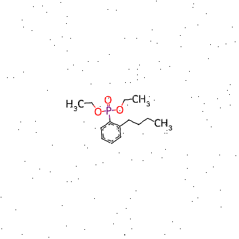 CCCCc1ccccc1P(=O)(OCC)OCC